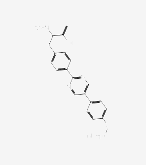 C=C(O)C(Cc1ccc(-c2ncc(-c3ccc(OCCCCCCC)cc3)cn2)cc1)NC